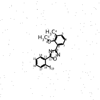 COc1c(C)cccc1-c1noc(-c2ccccc2I)n1